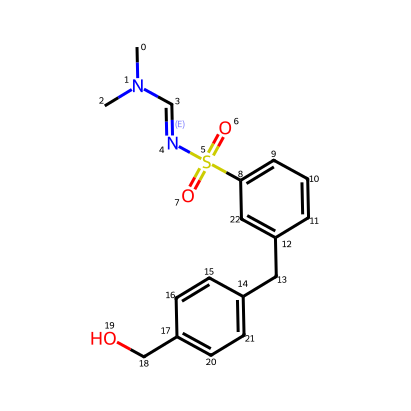 CN(C)/C=N/S(=O)(=O)c1cccc(Cc2ccc(CO)cc2)c1